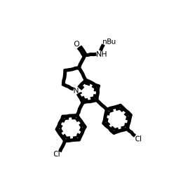 CCCCNC(=O)C1CCn2c1cc(-c1ccc(Cl)cc1)c2-c1ccc(Cl)cc1